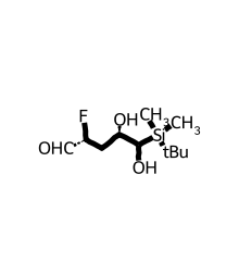 CC(C)(C)[Si](C)(C)C(O)[C@@H](O)C[C@@H](F)C=O